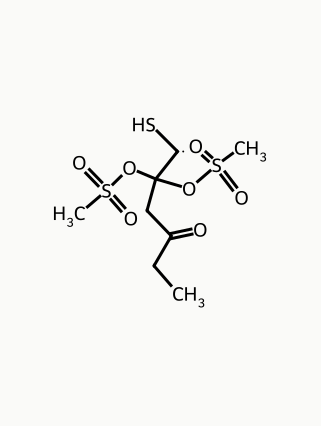 CCC(=O)CC([CH]S)(OS(C)(=O)=O)OS(C)(=O)=O